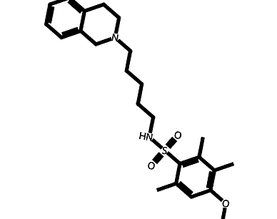 COc1cc(C)c(S(=O)(=O)NCCCCCN2CCc3ccccc3C2)c(C)c1C